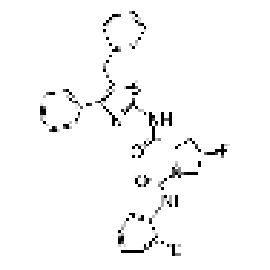 O=C(Nc1nc(-c2ccccc2)c(Cc2ccccc2)s1)[C@@H]1C[C@@H](F)CN1C(=O)Nc1ccccc1Cl